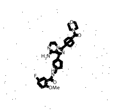 COc1ccc(F)cc1C(=O)NCc1ccc(-c2nc(C34CCC(C(=O)N5CCOCC5)(CC3)CC4)n3ccnc(N)c23)cc1